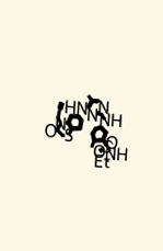 C#CCN1C(=O)CSc2ccc(Nc3nc(Nc4ccc(C)c(S(=O)(=O)NCC)c4)ncc3C)cc21